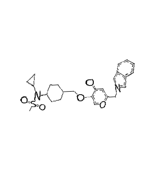 CS(=O)(=O)N(C1CCC(COc2coc(Cn3cc4ccccc4c3)cc2=O)CC1)C1CC1